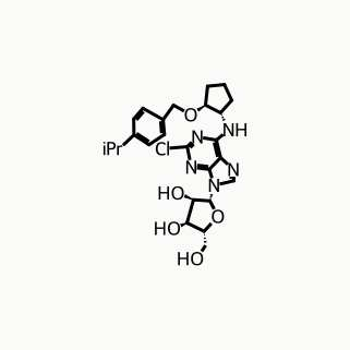 CC(C)c1ccc(CO[C@H]2CCC[C@@H]2Nc2nc(Cl)nc3c2ncn3[C@@H]2O[C@H](CO)[C@@H](O)[C@H]2O)cc1